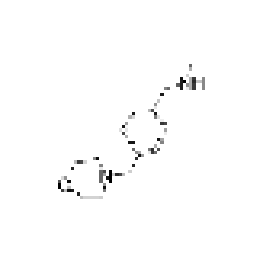 CNCc1ccc(CN2CCOCC2)cc1